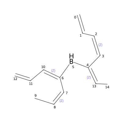 C=C/C=C\C(BC(/C=C\C)=C/C=C)=C/C